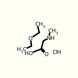 CCOCC.CNCC(=O)O.Cl